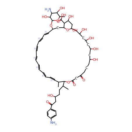 CC1/C=C/C=C/C=C/C=C/C=C/C=C/C=C/C(OC2OC(C)C(O)C(N)C2O)CC2OC(O)(CC(O)CC(O)CC(O)CC(O)CCCC(=O)CC(=O)OC1C(C)CCC(O)CC(=O)c1ccc(N)cc1)CC(O)C2C(=O)O